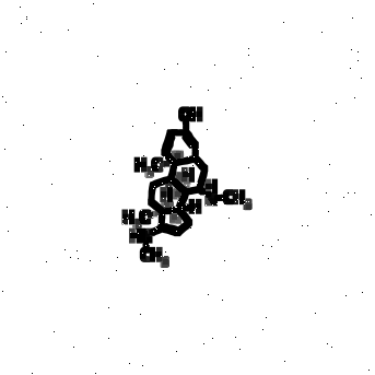 CNC1=CC[C@H]2[C@@H]3C(NC)CC4C=C(O)C=C[C@]4(C)[C@@H]3CC[C@]12C